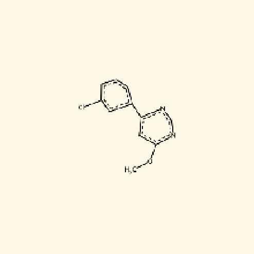 COc1cc(-c2cccc(Cl)c2)ncn1